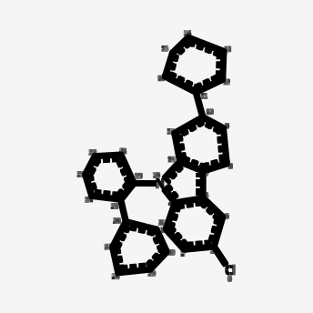 Clc1ccc2c(c1)c1ccc(-c3ccccc3)cc1n2-c1ccccc1-c1ccccc1